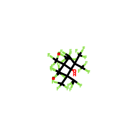 OC(C(C(F)(F)F)(C(F)(F)F)C(F)(F)F)(C(C(F)(F)F)(C(F)(F)F)C(F)(F)F)C(C(F)(F)F)(C(F)(F)F)C(F)(F)F